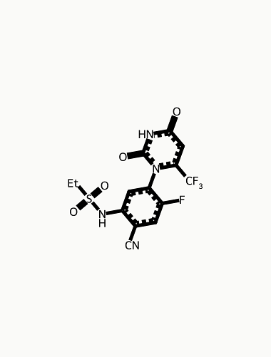 CCS(=O)(=O)Nc1cc(-n2c(C(F)(F)F)cc(=O)[nH]c2=O)c(F)cc1C#N